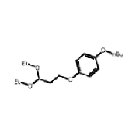 CCCCOc1ccc(OCCC(OCC)OCC)cc1